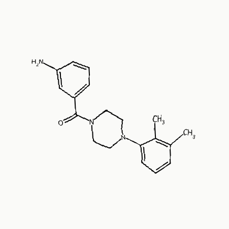 Cc1cccc(N2CCN(C(=O)c3cccc(N)c3)CC2)c1C